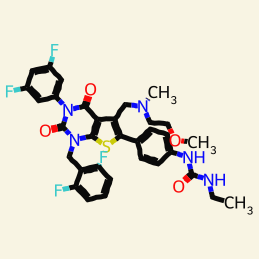 CCNC(=O)Nc1ccc(-c2sc3c(c2CN(C)CCOC)c(=O)n(-c2cc(F)cc(F)c2)c(=O)n3Cc2c(F)cccc2F)cc1